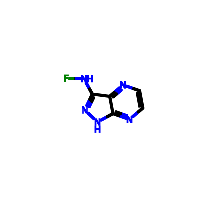 FNc1n[nH]c2nccnc12